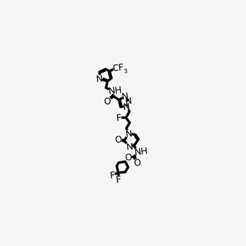 O=C(Nc1ccn(CCC(F)Cn2cc(C(=O)NCc3cc(C(F)(F)F)ccn3)nn2)c(=O)n1)OC1CCC(F)(F)CC1